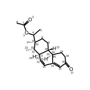 CC(=O)OC(C)[C@@]1(C)CC[C@H]2[C@@H](C=CC3=CC(=O)CC[C@@H]32)[C@@H]1C